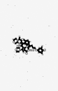 COC(=O)CCn1c(C)c(CCCOc2cc(C)c(Cl)c(C)c2)c2ccc(Cl)c(-c3c(CC(C)N4CCOCC4)n[nH]c3CC(C)N3CCOCC3)c21